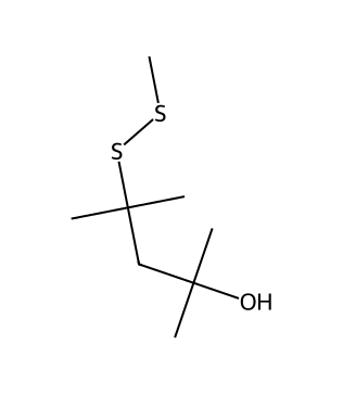 CSSC(C)(C)CC(C)(C)O